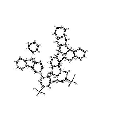 CC(C)(C)c1cc(-c2ccc3c(c2)c2ccccc2n3-c2ccccc2)c2c(c1)c1cc(C(C)(C)C)cc3c4c5c6cc7ccccc7c7c8cc9ccccc9cc8n(c5ccc4n2c13)c67